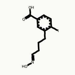 O=C(O)c1ccc(I)c(CCCC=NO)c1